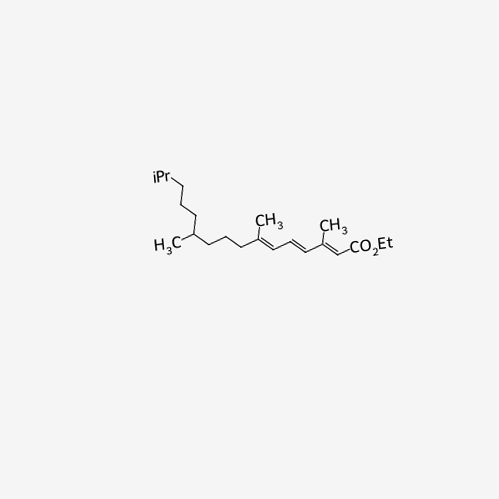 CCOC(=O)/C=C(C)/C=C/C=C(\C)CCCC(C)CCCC(C)C